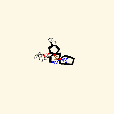 CCCOc1cc(C(F)(F)F)ccc1SC1CC2CCC(C1)N2c1ccc(C(F)(F)F)cn1